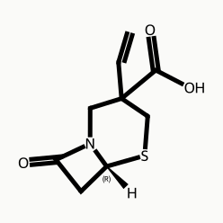 C=CC1(C(=O)O)CS[C@@H]2CC(=O)N2C1